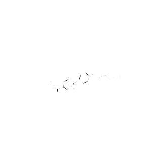 CCCCOc1ccc(-c2ncc(C(N)=O)cn2)cc1